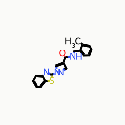 Cc1ccccc1CNC(=O)c1cnn(-c2nc3ccccc3s2)c1